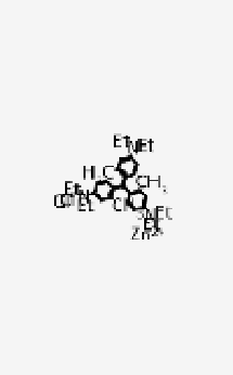 CCN(CC)c1ccc(C(c2ccc(N(CC)CC)cc2C)c2ccc(N(CC)CC)cc2C)c(C)c1.[Cl-].[Cl-].[Zn+2]